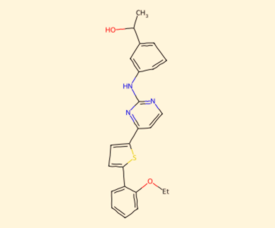 CCOc1ccccc1-c1ccc(-c2ccnc(Nc3cccc(C(C)O)c3)n2)s1